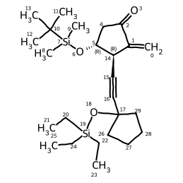 C=C1C(=O)C[C@@H](O[Si](C)(C)C(C)(C)C)[C@@H]1C#CC1(O[Si](CC)(CC)CC)CCCC1